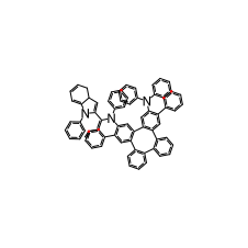 C=C/C=C(\C1=CC2CC=CC=C2N1c1ccccc1)N(c1ccccc1)c1cc2c(cc1-c1ccccc1)-c1ccccc1-c1ccccc1-c1cc(-c3ccccc3)c(N(c3ccccc3)c3ccccc3)cc1-2